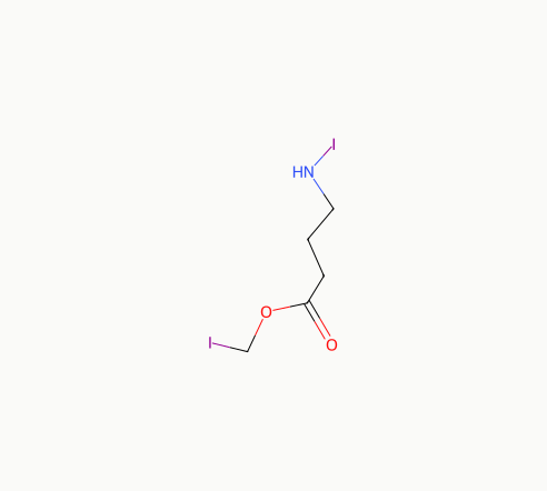 O=C(CCCNI)OCI